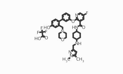 Cc1cc(CNC2CCC(NC(=O)c3cc(F)cnc3Oc3cccc(-c4ccc(O)cc4CN4CCOCC4)c3)CC2)nn1C.O=C(O)C(F)(F)F